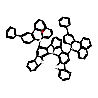 c1ccc(-c2ccc(N(c3ccccc3)c3cc4c5ccccc5oc4c4c3c3cccc5c6c(N(c7ccccc7)c7ccc(-c8ccccc8)cc7-c7ccccc7)cc7c8ccccc8oc7c6n4c35)c(-c3ccccc3)c2)cc1